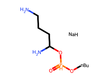 CCCCO[PH](=O)OC(N)CCCN.[NaH]